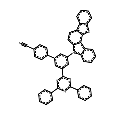 N#Cc1ccc(-c2cc(-c3nc(-c4ccccc4)nc(-c4ccccc4)n3)cc(-n3c4ccccc4c4c5sc6ccccc6c5ccc43)c2)cc1